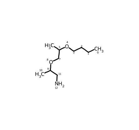 CCCCOC(C)COC(C)CN